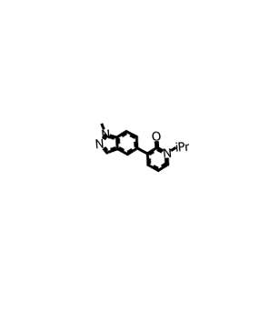 CC(C)n1cccc(-c2ccc3c(cnn3C)c2)c1=O